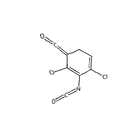 O=C=NC1=C(Cl)C(=C=O)CC=C1Cl